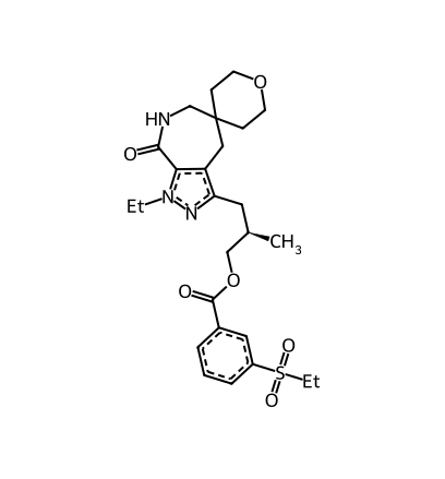 CCn1nc(C[C@@H](C)COC(=O)c2cccc(S(=O)(=O)CC)c2)c2c1C(=O)NCC1(CCOCC1)C2